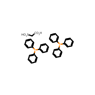 O=C(O)CS(=O)(=O)O.c1ccc(P(c2ccccc2)c2ccccc2)cc1.c1ccc(P(c2ccccc2)c2ccccc2)cc1